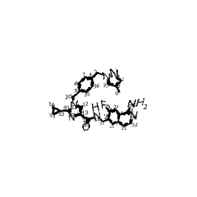 Cc1cnn(Cc2ccc(Cn3cc(C(=O)NCc4cc5ccnc(N)c5cc4F)nc3C3CC3)cc2)c1